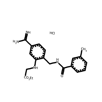 CCOC(=O)CNc1cc(C(=N)N)ccc1CNC(=O)c1cccc(C)c1.Cl